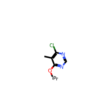 Cc1c(Cl)ncnc1OC(C)C